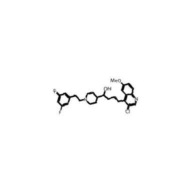 COc1ccc2ncc(Cl)c(CCCC(O)C3CCN(CCc4cc(F)cc(F)c4)CC3)c2c1